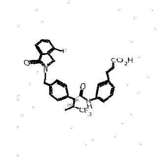 C[C@@H]([C@@H](C(=O)Nc1cccc(CCC(=O)O)c1)c1ccc(CN2Cc3c(F)cccc3C2=O)cc1)C(F)(F)F